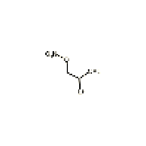 CCC(CO[N+](=O)[O-])OC(C)=O